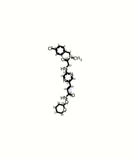 CN(Cc1ccc(Cl)cc1)C(=O)CNc1cnc(/C=C/C(=O)NOC2CCCCO2)cn1